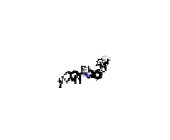 CC(C)N1CCc2cc(/C(F)=C/c3cccc(OS(=O)(=O)C(F)(F)F)c3Cl)ncc2C1